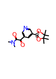 CN(C)C(=O)C(=O)c1cncc(B2OC(C)(C)C(C)(C)O2)c1